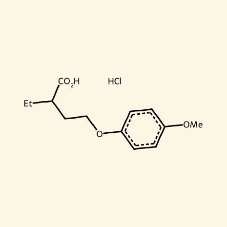 CCC(CCOc1ccc(OC)cc1)C(=O)O.Cl